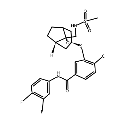 CS(=O)(=O)NC[C@@]1(O)C2CC[C@H]1C[C@H](Sc1cc(C(=O)Nc3ccc(F)c(F)c3)ccc1Cl)C2